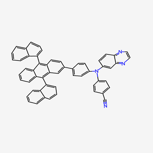 N#Cc1ccc(N(c2ccc(-c3ccc4c(-c5cccc6ccccc56)c5ccccc5c(-c5cccc6ccccc56)c4c3)cc2)c2ccc3nccnc3c2)cc1